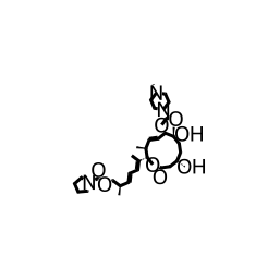 C/C(=C\C=C\[C@@H](C)COC(=O)N1CCCC1)[C@H]1OC(=O)C[C@@H](O)CC[C@@](C)(O)[C@@H](OC(=O)N2CCN(C)CC2)/C=C/[C@@H]1C